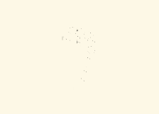 CCN1CCN(C2CCN(c3ccc(Nc4ncc(C(F)(F)F)c(Nc5cccc6c5C(=O)NC6)n4)c(CC(F)F)c3)CC2)CC1